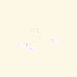 Cl.Cl.N=C(N)c1cccc(C2=CCNCC2)c1